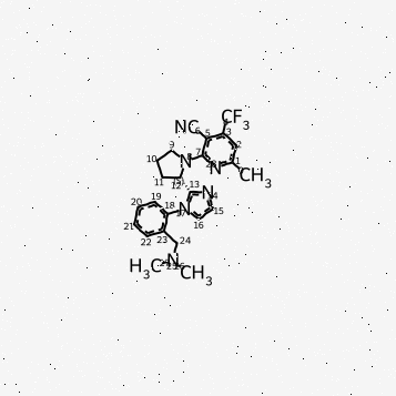 Cc1cc(C(F)(F)F)c(C#N)c(N2CCC[C@H]2c2nccn2-c2ccccc2CN(C)C)n1